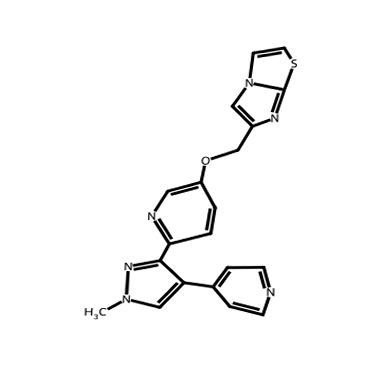 Cn1cc(-c2ccncc2)c(-c2ccc(OCc3cn4ccsc4n3)cn2)n1